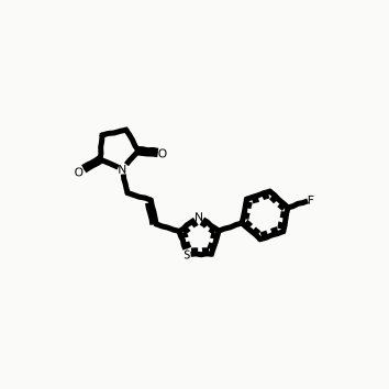 O=C1CCC(=O)N1CC=Cc1nc(-c2ccc(F)cc2)cs1